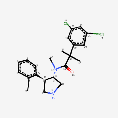 Cc1ccccc1[C@@H]1CNC[C@H]1N(C)C(=O)C(C)(C)c1cc(Cl)cc(Cl)c1